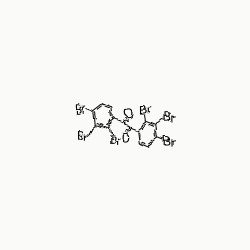 O=S(=O)(c1ccc(Br)c(Br)c1Br)c1ccc(Br)c(Br)c1Br